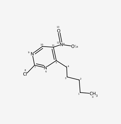 CCCC[CH]c1nc(Cl)ncc1[N+](=O)[O-]